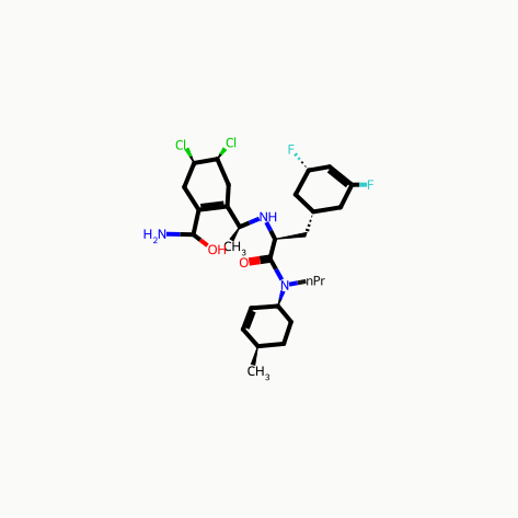 CCCN(C(=O)[C@H](C[C@H]1CC(F)=C[C@@H](F)C1)N[C@@H](C)C1=C(C(N)O)C[C@@H](Cl)[C@@H](Cl)C1)[C@@H]1C=C[C@H](C)CC1